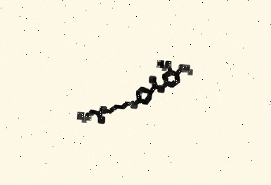 C=CC(=O)OCCCCOc1ccc(C(=O)Oc2ccc(C)c(C)c2)cc1